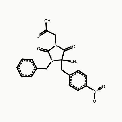 CC1(Cc2ccc([N+](=O)[O-])cc2)C(=O)N(CC(=O)O)C(=O)N1Cc1ccccc1